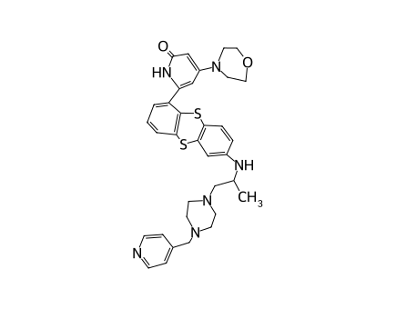 CC(CN1CCN(Cc2ccncc2)CC1)Nc1ccc2c(c1)Sc1cccc(-c3cc(N4CCOCC4)cc(=O)[nH]3)c1S2